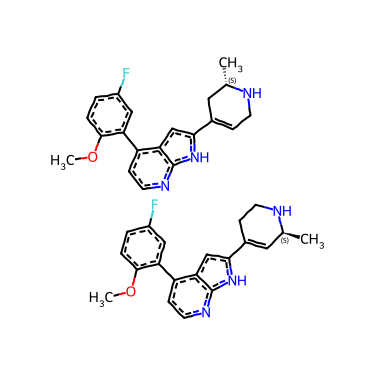 COc1ccc(F)cc1-c1ccnc2[nH]c(C3=CCN[C@@H](C)C3)cc12.COc1ccc(F)cc1-c1ccnc2[nH]c(C3=C[C@H](C)NCC3)cc12